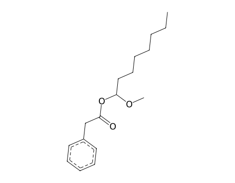 CCCCCCCC(OC)OC(=O)Cc1ccccc1